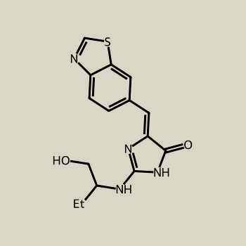 CCC(CO)NC1=N/C(=C\c2ccc3ncsc3c2)C(=O)N1